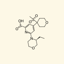 CC[C@H]1COCCN1c1cc(C2(S(C)(=O)=O)CCOCC2)cc(S(=O)O)n1